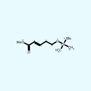 COC(=O)/C=C/CCO[Si](C)(C)C(C)(C)C